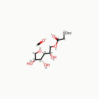 C=O.CCCCCCCCCCCC(=O)OC[C@@H](O)[C@H]1OC[C@H](O)[C@H]1O